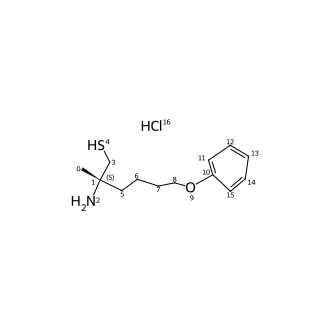 C[C@@](N)(CS)CCCCOc1ccccc1.Cl